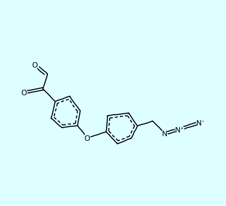 [N-]=[N+]=NCc1ccc(Oc2ccc(C(=O)C=O)cc2)cc1